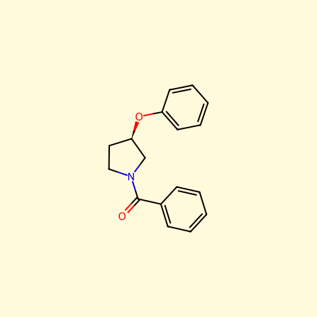 O=C(c1ccccc1)N1CC[C@@H](Oc2ccccc2)C1